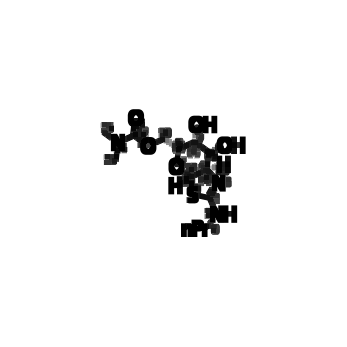 CCCNC1=N[C@@H]2[C@@H](O)[C@@H](O)[C@@H](COC(=O)N(C)C)O[C@@H]2S1